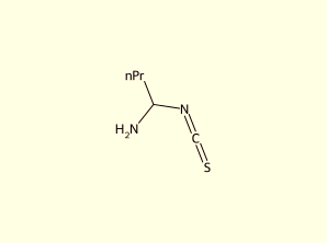 CCCC(N)N=C=S